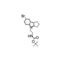 CC(C)(C)OC(=O)NCCn1c2c(c3cc(Br)ccc31)CCC2